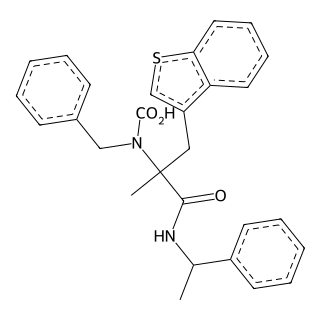 CC(NC(=O)C(C)(Cc1csc2ccccc12)N(Cc1ccccc1)C(=O)O)c1ccccc1